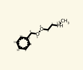 CPCCOOCc1ccccc1